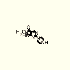 Cn1[nH]c2nc(N3CCNCC3)ncc2c1=O